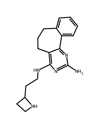 Nc1nc(NCCC2CCN2)c2c(n1)-c1ccccc1CCC2